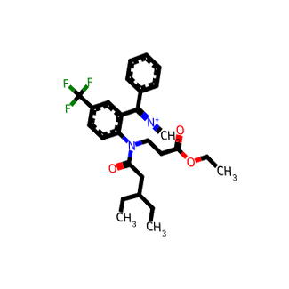 C=[N+]=C(c1ccccc1)c1cc(C(F)(F)F)ccc1N(CCC(=O)OCC)C(=O)CC(CC)CC